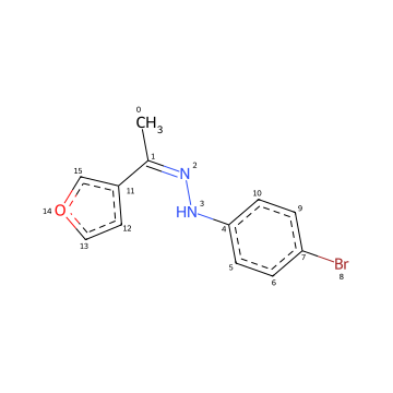 CC(=NNc1ccc(Br)cc1)c1ccoc1